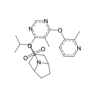 Cc1ncccc1Oc1ncnc(OC2CC3CCC(C2)N3S(=O)(=O)CC(C)C)c1C